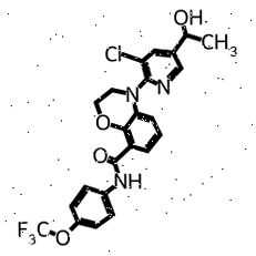 CC(O)c1cnc(N2CCOc3c(C(=O)Nc4ccc(OC(F)(F)F)cc4)cccc32)c(Cl)c1